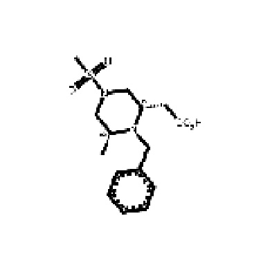 C[C@H]1CN(S(C)(=O)=O)C[C@H](CC(=O)O)N1Cc1ccccc1